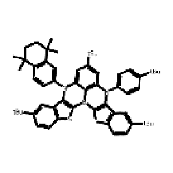 CC(C)(C)c1ccc(N2c3cc(C(C)(C)C)cc4c3B(c3sc5ccc(C(C)(C)C)cc5c32)c2sc3ccc(C(C)(C)C)cc3c2N4c2ccc3c(c2)C(C)(C)CCC3(C)C)cc1